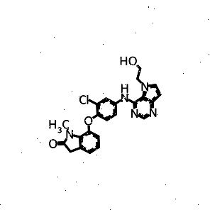 CN1C(=O)Cc2cccc(Oc3ccc(Nc4ncnc5ccn(CCO)c45)cc3Cl)c21